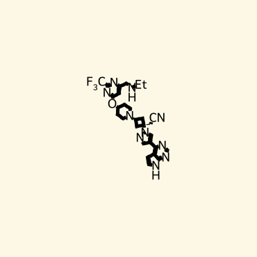 CCNCc1cc(OC2CCN([C@H]3C[C@@](CC#N)(n4cc(-c5ncnc6[nH]ccc56)cn4)C3)CC2)nc(C(F)(F)F)n1